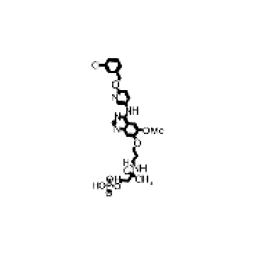 COc1cc2c(Nc3ccc(OCc4cccc(Cl)c4)nc3)ncnc2cc1OCCCNC(C)(C)CCOP(=O)(O)O